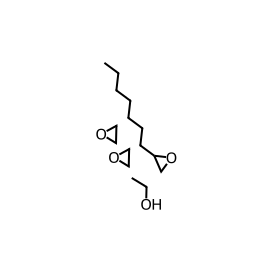 C1CO1.C1CO1.CCCCCCCC1CO1.CCO